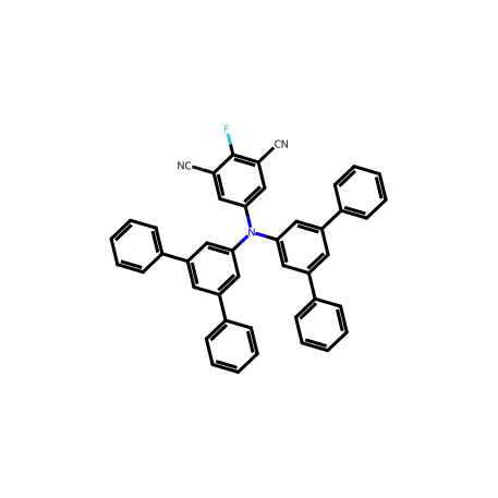 N#Cc1cc(N(c2cc(-c3ccccc3)cc(-c3ccccc3)c2)c2cc(-c3ccccc3)cc(-c3ccccc3)c2)cc(C#N)c1F